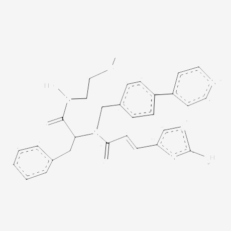 COCCN(C)C(=O)C(Cc1ccccc1)N(Cc1ccc(-c2ccncc2)cc1)C(=O)C=Cc1csc(C)n1